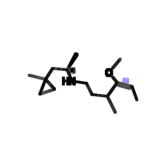 C/C=C(/OC)C(C)CCN[C@H](C)CC1(C)CC1